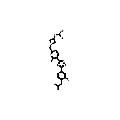 Cc1nc(CN2CC(OC(=O)O)C2)ccc1-c1noc(-c2ccc(CC(C)C)c(Cl)c2)n1